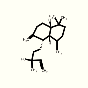 C=CC(C)(O)CC[C@@H]1C(=C)CC[C@H]2[C@@H]1C(C)CCC2(C)C